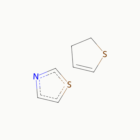 C1=CSCC1.c1cscn1